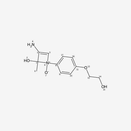 CC1(O)C(N)=C[N+]1([O-])c1ccc(OCCO)cc1